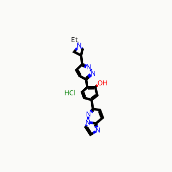 CCN1CC(c2ccc(-c3ccc(-c4ccc5nccn5n4)cc3O)nn2)C1.Cl